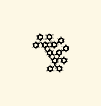 c1ccc(-c2ccc3c(c2)N(c2ccccc2)c2cc(N(c4ccccc4)c4ccccc4)cc4c2B3c2cc3c(cc2S4)Sc2cc(N(c4ccccc4)c4ccccc4)cc4c2B3c2ccc(-c3ccccc3)cc2N4c2ccccc2)cc1